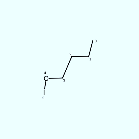 CCCCOI